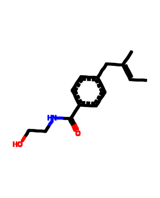 CC=C(C)Cc1ccc(C(=O)NCCO)cc1